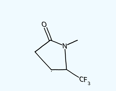 CN1C(=O)C[CH]C1C(F)(F)F